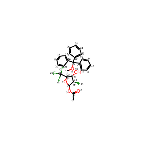 CC(=O)OC1O[C@@](COC(c2ccccc2)(c2ccccc2)c2ccccc2)(C(F)(F)F)[C@@H](O)[C@H]1F